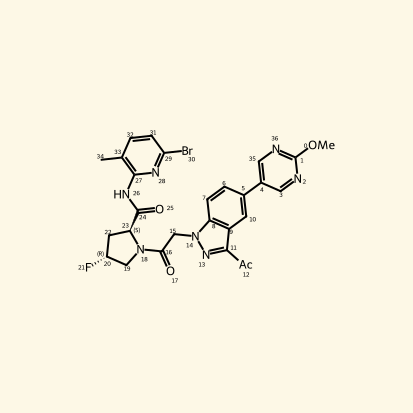 COc1ncc(-c2ccc3c(c2)c(C(C)=O)nn3CC(=O)N2C[C@H](F)C[C@H]2C(=O)Nc2nc(Br)ccc2C)cn1